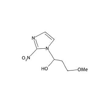 COCCC(O)n1ccnc1[N+](=O)[O-]